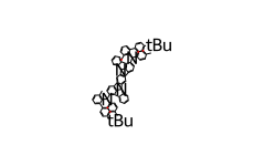 Cc1ccc(N(c2c(C)cccc2-c2ccc(C(C)(C)C)cc2)c2ccc3c4cc5c(cc4n4c6ccccc6c2c34)c2ccc(N(c3ccc(C)cc3)c3c(C)cccc3-c3ccc(C(C)(C)C)cc3)c3c4ccccc4n5c23)cc1